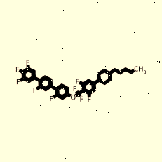 CCCCCC1CCC(c2cc(F)c(C(F)(F)Oc3ccc(-c4ccc(-c5cc(F)c(F)c(F)c5)c(F)c4)c(F)c3)c(F)c2)CC1